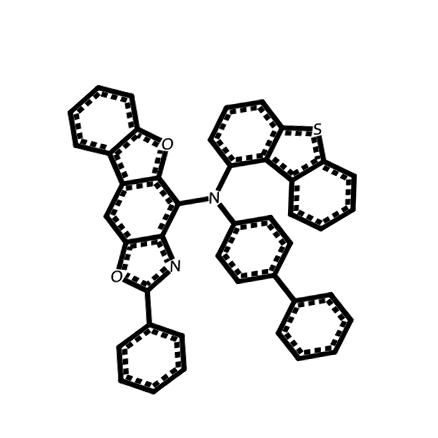 c1ccc(-c2ccc(N(c3c4nc(-c5ccccc5)oc4cc4c3oc3ccccc34)c3cccc4sc5ccccc5c34)cc2)cc1